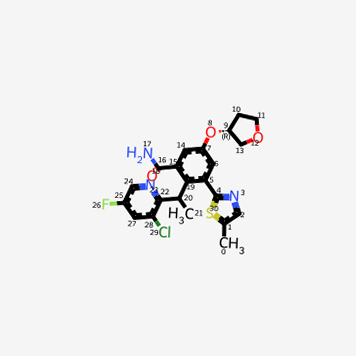 Cc1cnc(-c2cc(O[C@@H]3CCOC3)cc(C(N)=O)c2C(C)c2ncc(F)cc2Cl)s1